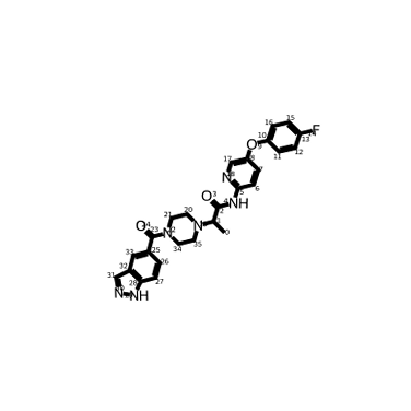 CC(C(=O)Nc1ccc(Oc2ccc(F)cc2)cn1)N1CCN(C(=O)c2ccc3[nH]ncc3c2)CC1